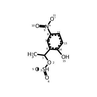 CC(O[SH](=O)=O)c1cc([N+](=O)[O-])ccc1O